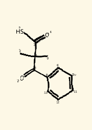 CC(C)(C(=O)S)C(=O)c1ccccc1